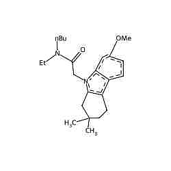 CCCCN(CC)C(=O)Cn1c2c(c3ccc(OC)cc31)CCC(C)(C)C2